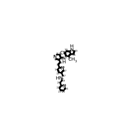 Cc1c(Nc2c(C#N)cncc2C=Cc2ccc(CNCCc3ccccn3)cn2)ccc2[nH]ccc12